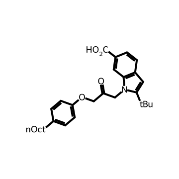 CCCCCCCCc1ccc(OCC(=O)Cn2c(C(C)(C)C)cc3ccc(C(=O)O)cc32)cc1